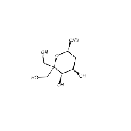 CO[C@H]1C[C@@H](O)[C@@H](O)C(CO)(CO)O1